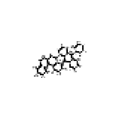 c1ccc(-c2c3ccccc3c(-c3cccc4c3CCc3ccc5ccccc5c3-4)c3ccccc23)cc1